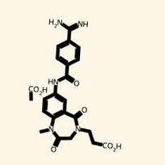 CC(=O)O.CN1C(=O)CN(CCC(=O)O)C(=O)c2cc(NC(=O)c3ccc(C(=N)N)cc3)ccc21